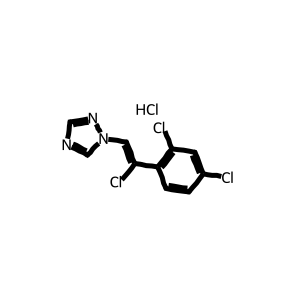 Cl.ClC(=Cn1cncn1)c1ccc(Cl)cc1Cl